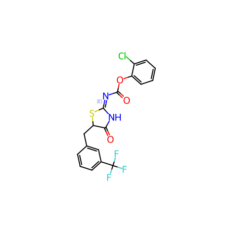 O=C(/N=C1\NC(=O)C(Cc2cccc(C(F)(F)F)c2)S1)Oc1ccccc1Cl